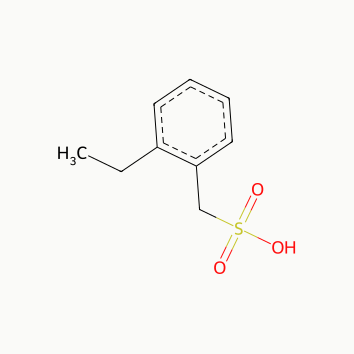 CCc1ccccc1CS(=O)(=O)O